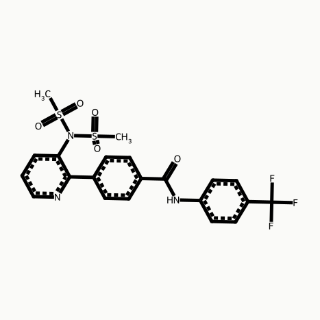 CS(=O)(=O)N(c1cccnc1-c1ccc(C(=O)Nc2ccc(C(F)(F)F)cc2)cc1)S(C)(=O)=O